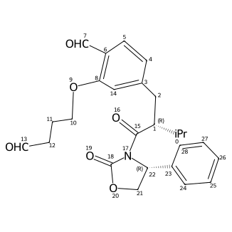 CC(C)[C@@H](Cc1ccc(C=O)c(OCCCC=O)c1)C(=O)N1C(=O)OC[C@H]1c1ccccc1